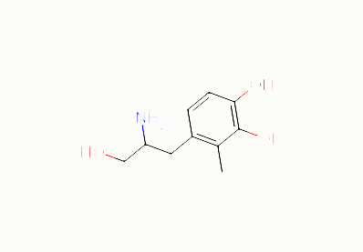 Cc1c(CC(N)CO)ccc(O)c1O